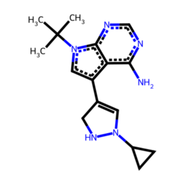 CC(C)(C)n1cc(C2=CN(C3CC3)NC2)c2c(N)ncnc21